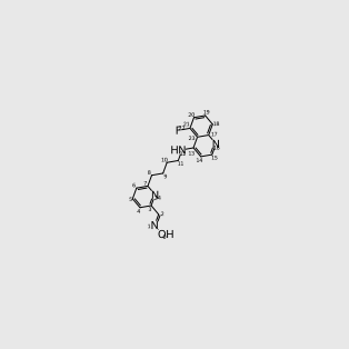 ON=Cc1cccc(CCCCNc2ccnc3cccc(F)c23)n1